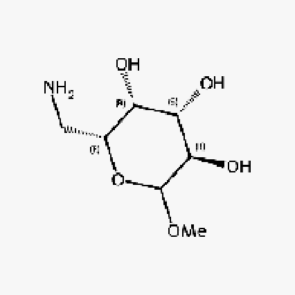 COC1O[C@H](CN)[C@H](O)[C@H](O)[C@H]1O